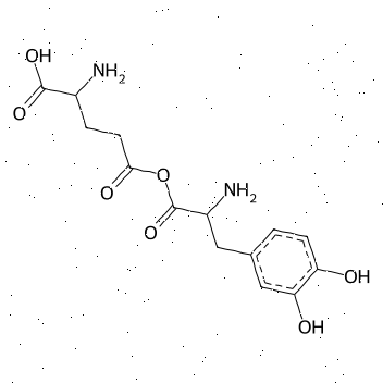 NC(CCC(=O)OC(=O)C(N)Cc1ccc(O)c(O)c1)C(=O)O